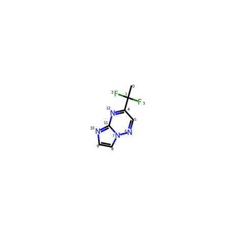 CC(F)(F)c1cnn2ccnc2n1